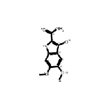 COc1cc2sc(C(N)=O)c(Cl)c2cc1OC